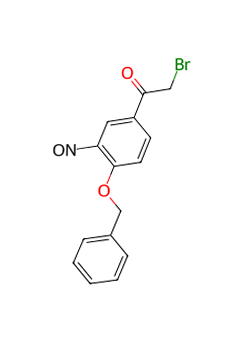 O=Nc1cc(C(=O)CBr)ccc1OCc1ccccc1